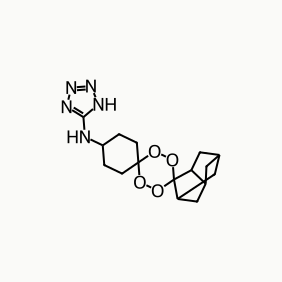 C1CC2(CCC1Nc1nnn[nH]1)OOC1(OO2)C2CC3CC(C2)C1C3